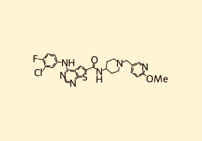 COc1ccc(CN2CCC(NC(=O)c3cc4c(Nc5ccc(F)c(Cl)c5)ncnc4s3)CC2)cn1